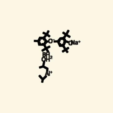 BO.CC(C)[CH2][Al+][CH2]C(C)C.Cc1cc(C(C)(C)C)c([O-])c(C(C)(C)C)c1.Cc1cc(C(C)(C)C)c([O-])c(C(C)(C)C)c1.[Na+]